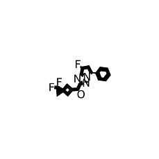 O=C(c1nc2n(n1)[C@H](c1ccccc1)C[C@@H]2F)C1CC2(C1)CC2(F)F